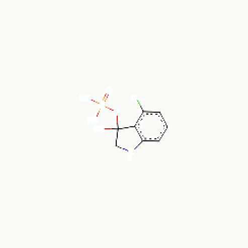 O=P(O)(O)OC1(O)CNc2cccc(Cl)c21